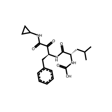 CC(C)C[C@H](NC(=O)O)C(=O)N[C@@H](Cc1ccccc1)C(=O)C(=O)NC1CC1